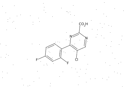 O=C(O)c1ncc(Cl)c(-c2ccc(F)cc2F)n1